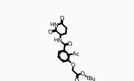 CC(=O)c1c(OCC(=O)OC(C)(C)C)cccc1C(=O)NC1CCC(=O)NC1=O